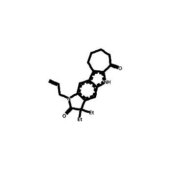 C=CCN1C(=O)C(CC)(CC)c2cc3[nH]c4c(c3cc21)CCCCC4=O